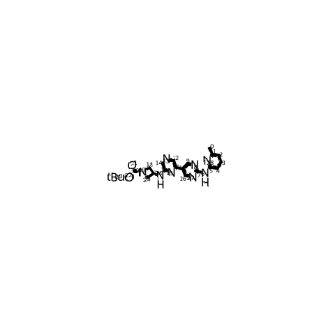 Cc1cccc(Nc2ncc(-c3cncc(NC4CN(C(=O)OC(C)(C)C)C4)n3)cn2)n1